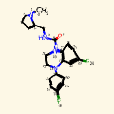 CN1CCC[C@@H]1CNC(=O)N1CCN(c2ccc(F)cc2)c2cc(F)ccc21